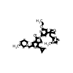 CCOc1cc(C2(Cc3nncn3C)COC2)cc(N2Cc3c(cc(CN4CCC[C@H](C)C4)nc3C3CC3)C2=O)n1